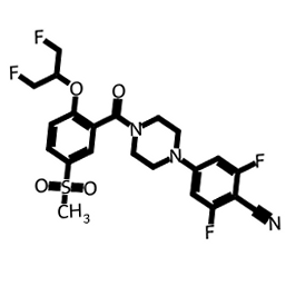 CS(=O)(=O)c1ccc(OC(CF)CF)c(C(=O)N2CCN(c3cc(F)c(C#N)c(F)c3)CC2)c1